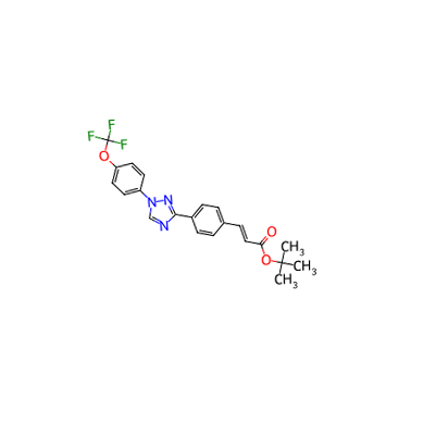 CC(C)(C)OC(=O)C=Cc1ccc(-c2ncn(-c3ccc(OC(F)(F)F)cc3)n2)cc1